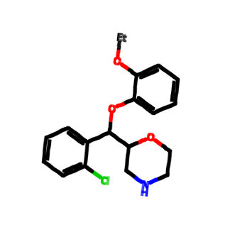 CCOc1ccccc1OC(c1ccccc1Cl)C1CNCCO1